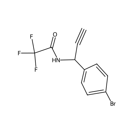 C#CC(NC(=O)C(F)(F)F)c1ccc(Br)cc1